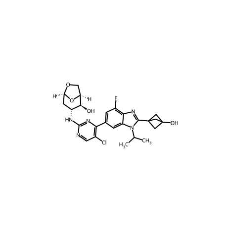 CC(C)n1c(C23CC(O)(C2)C3)nc2c(F)cc(-c3nc(N[C@@H]4C[C@H]5OC[C@H](O5)[C@H]4O)ncc3Cl)cc21